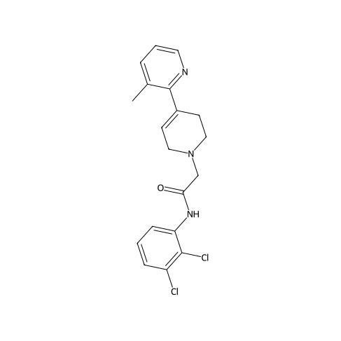 Cc1cccnc1C1=CCN(CC(=O)Nc2cccc(Cl)c2Cl)CC1